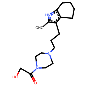 O=Cc1[nH]c2c(c1CCCN1CCN(C(=O)CO)CC1)CCCC2